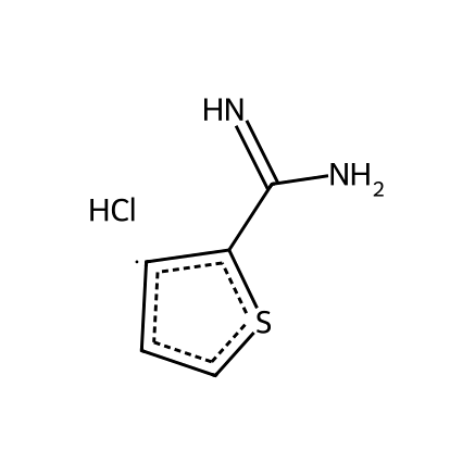 Cl.N=C(N)c1[c]ccs1